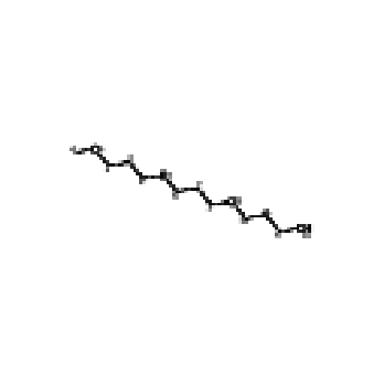 COCCCOCCCOCCCO